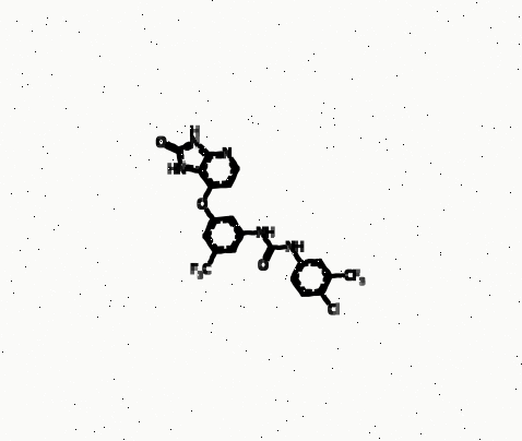 O=C(Nc1cc(Oc2ccnc3[nH]c(=O)[nH]c23)cc(C(F)(F)F)c1)Nc1ccc(Cl)c(C(F)(F)F)c1